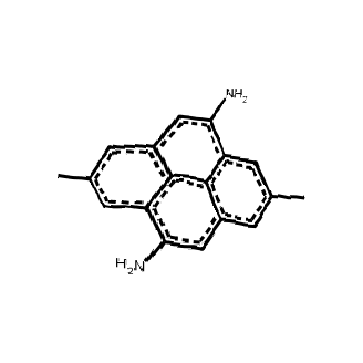 Cc1cc2cc(N)c3cc(C)cc4cc(N)c(c1)c2c43